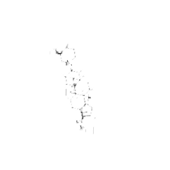 C[C@]12CC[C@H]3[C@@H](CC[C@]45CC(N6CCCC(=O)C6)CC[C@]34C5)[C@@H]1CCC2=NO